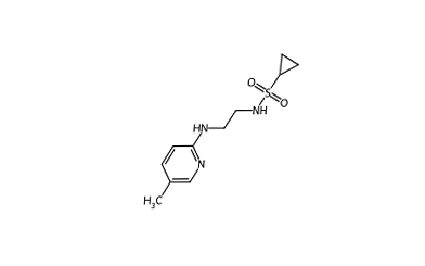 Cc1ccc(NCCNS(=O)(=O)C2CC2)nc1